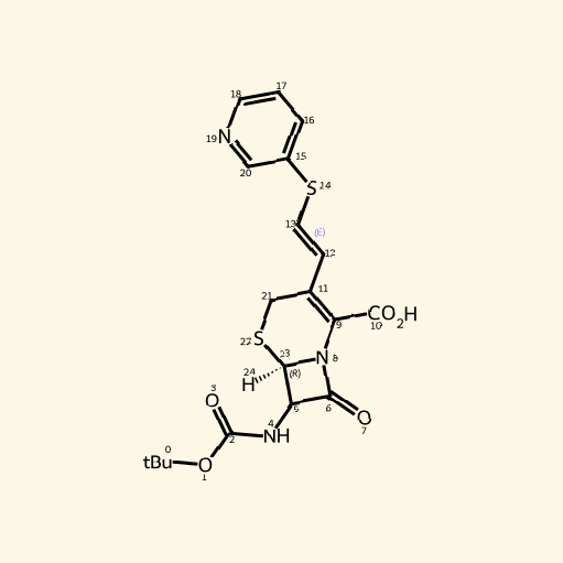 CC(C)(C)OC(=O)NC1C(=O)N2C(C(=O)O)=C(/C=C/Sc3cccnc3)CS[C@H]12